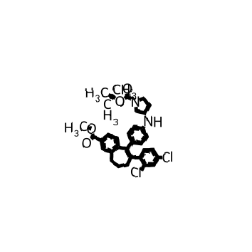 COC(=O)c1ccc2c(c1)CCCC(c1ccc(Cl)cc1Cl)=C2c1ccc(N[C@H]2CCN(C(=O)OC(C)(C)C)C2)cc1